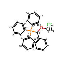 COC(c1ccccc1)[P+](c1ccccc1)(c1ccccc1)c1ccccc1.[Cl-]